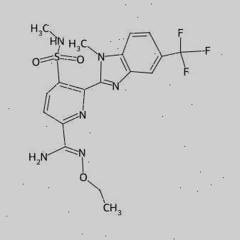 CCON=C(N)c1ccc(S(=O)(=O)NC)c(-c2nc3cc(C(F)(F)F)ccc3n2C)n1